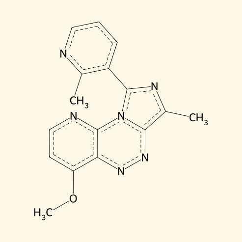 COc1ccnc2c1nnc1c(C)nc(-c3cccnc3C)n12